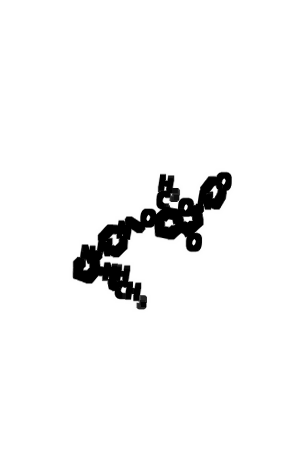 CCNc1cccnc1N1CCN(CCOc2ccc3c(=O)cc(N4CCOCC4)oc3c2C)CC1